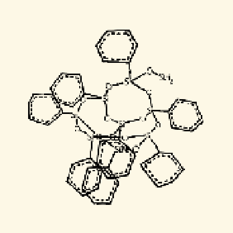 [SiH3]O[Si]1(c2ccccc2)O[Si]2(c3ccccc3)O[Si]3(c4ccccc4)O[SiH](c4ccccc4)O[Si]4(c5ccccc5)O[Si](c5ccccc5)(O1)O[Si](c1ccccc1)(O2)O[Si](c1ccccc1)(O3)O4